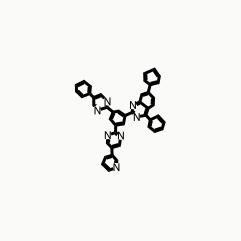 c1ccc(-c2cnc(-c3cc(-c4ncc(-c5cccnc5)cn4)cc(-c4nc(-c5ccccc5)c5ccc(-c6ccccc6)cc5n4)c3)nc2)cc1